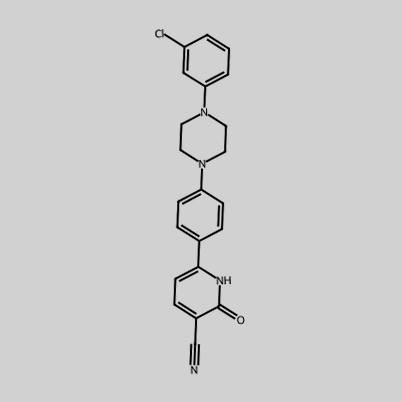 N#Cc1ccc(-c2ccc(N3CCN(c4cccc(Cl)c4)CC3)cc2)[nH]c1=O